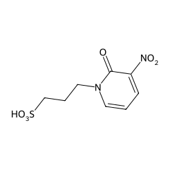 O=c1c([N+](=O)[O-])cccn1CCCS(=O)(=O)O